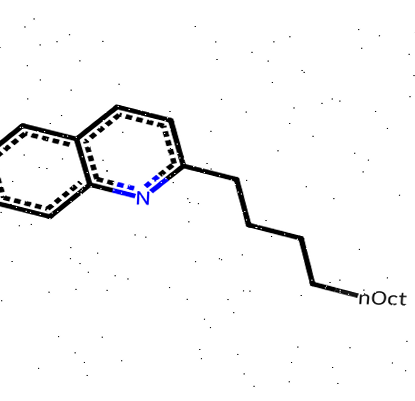 CCCCCCCCCCCCc1ccc2ccccc2n1